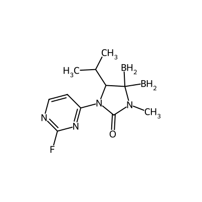 BC1(B)C(C(C)C)N(c2ccnc(F)n2)C(=O)N1C